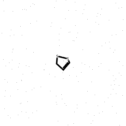 [C]1=CSSC1